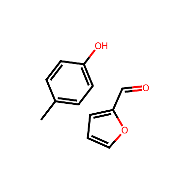 Cc1ccc(O)cc1.O=Cc1ccco1